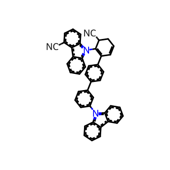 N#Cc1cccc2c1c1ccccc1n2C1=C(c2ccc(-c3cccc(-n4c5ccccc5c5ccccc54)c3)cc2)C=CCC1C#N